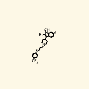 CCc1c(C2CCN(CCCSc3ccc(C(F)(F)F)cc3)CC2)c2ccc(F)cc2n1C